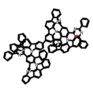 N#Cc1cc(-c2nc(-c3ccccc3)nc(-c3ccccc3)n2)c(-n2c3ccccc3c3ccc4c5ccccc5sc4c32)c(-c2ccccc2)c1-n1c2ccc(-c3ccc4c(c3)c3ccc5c6ccccc6sc5c3n4-c3c(-c4nc(-c5ccccc5)nc(-c5ccccc5)n4)cc(C#N)c(-n4c5ccccc5c5ccc6c7ccccc7sc6c54)c3-c3ccccc3)cc2c2ccc3c4ccccc4sc3c21